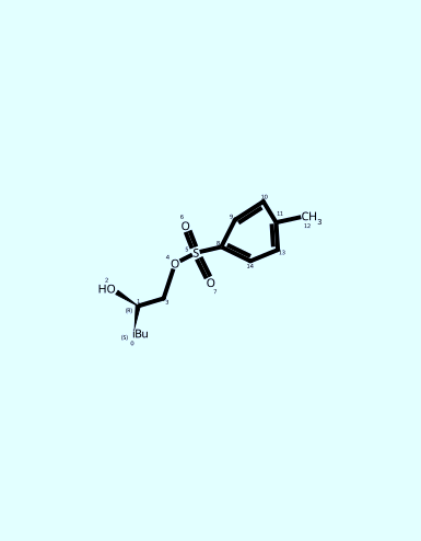 CC[C@H](C)[C@@H](O)COS(=O)(=O)c1ccc(C)cc1